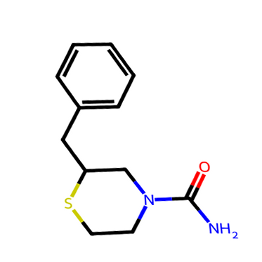 NC(=O)N1CCSC(Cc2ccccc2)C1